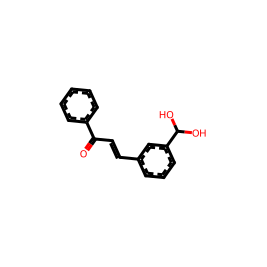 O=C(C=Cc1cccc(C(O)O)c1)c1ccccc1